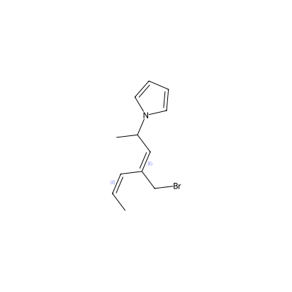 C/C=C\C(=C/C(C)n1cccc1)CBr